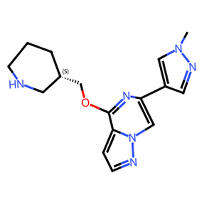 Cn1cc(-c2cn3nccc3c(OC[C@H]3CCCNC3)n2)cn1